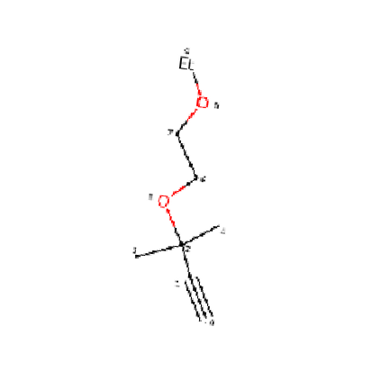 [C]#CC(C)(C)OCCOCC